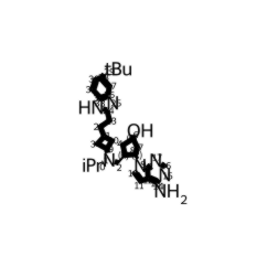 CC(C)N(C[C@H]1C[C@H](O)C[C@H]1n1ccc2c(N)ncnc21)C1CC(CCc2nc3cc(C(C)(C)C)ccc3[nH]2)C1